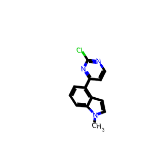 Cn1ccc2c(-c3ccnc(Cl)n3)cccc21